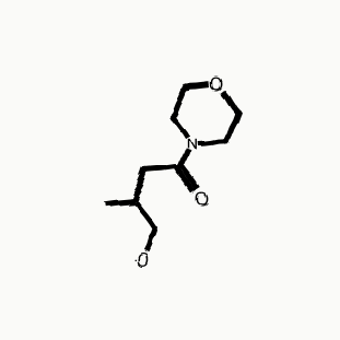 CC(C[O])CC(=O)N1CCOCC1